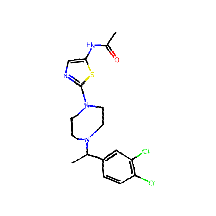 CC(=O)Nc1cnc(N2CCN(C(C)c3ccc(Cl)c(Cl)c3)CC2)s1